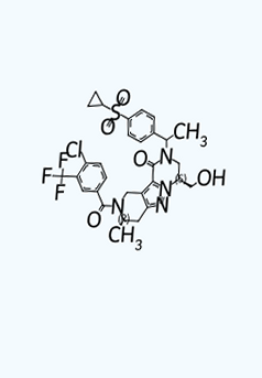 CC(c1ccc(S(=O)(=O)C2CC2)cc1)N1C[C@@H](CO)n2nc3c(c2C1=O)CN(C(=O)c1ccc(Cl)c(C(F)(F)F)c1)[C@H](C)C3